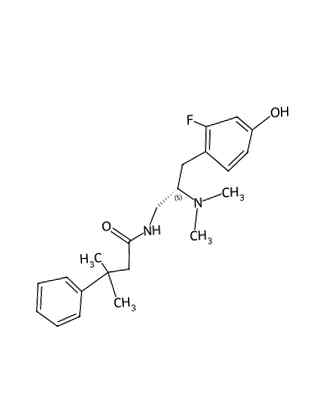 CN(C)[C@H](CNC(=O)CC(C)(C)c1ccccc1)Cc1ccc(O)cc1F